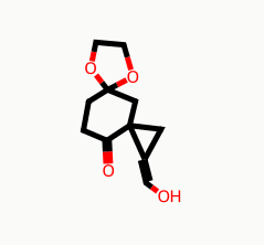 O=C1CCC2(CC13CC3=CO)OCCO2